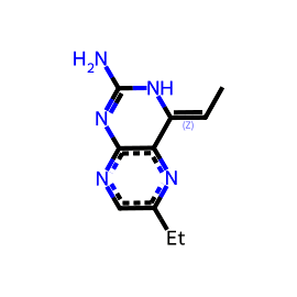 C/C=C1\NC(N)=Nc2ncc(CC)nc21